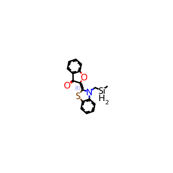 C[SiH2]CN1/C(=C2\Oc3ccccc3C2=O)Sc2ccccc21